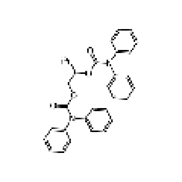 CC(C)C(COC(=O)N(c1ccccc1)c1ccccc1)OC(=O)N(c1ccccc1)c1ccccc1